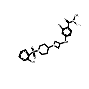 CN(C)C(=O)c1ccc(NC2CN(C3CCN(S(=O)(=O)c4ccccc4C#N)CC3)C2)cc1Cl